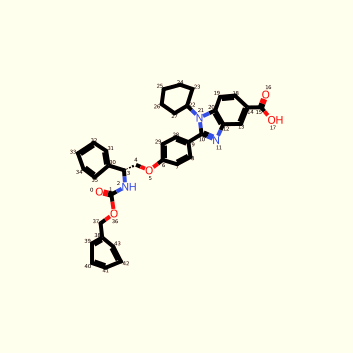 O=C(N[C@@H](COc1ccc(-c2nc3cc(C(=O)O)ccc3n2C2CCCCC2)cc1)c1ccccc1)OCc1ccccc1